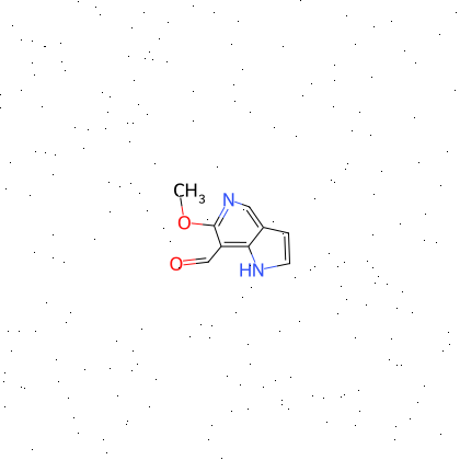 COc1ncc2cc[nH]c2c1C=O